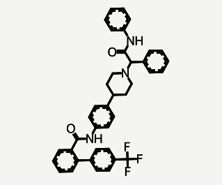 O=C(Nc1ccc(C2CCN(C(C(=O)Nc3ccccc3)c3ccccc3)CC2)cc1)c1ccccc1-c1ccc(C(F)(F)F)cc1